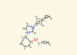 CCOc1ccccc1-n1cc[n+](C23CC(C)(C2)C3)c1